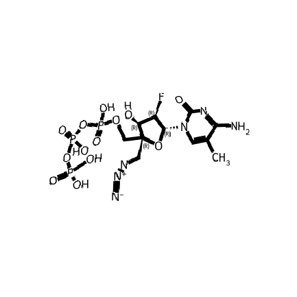 Cc1cn([C@@H]2O[C@](CN=[N+]=[N-])(COP(=O)(O)OP(=O)(O)OP(=O)(O)O)[C@@H](O)[C@H]2F)c(=O)nc1N